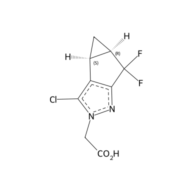 O=C(O)Cn1nc2c(c1Cl)[C@H]1C[C@H]1C2(F)F